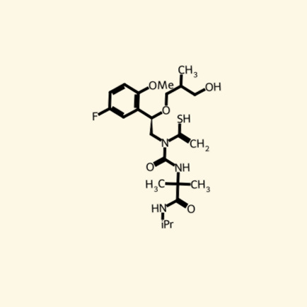 C=C(S)N(C[C@H](OCC(C)CO)c1cc(F)ccc1OC)C(=O)NC(C)(C)C(=O)NC(C)C